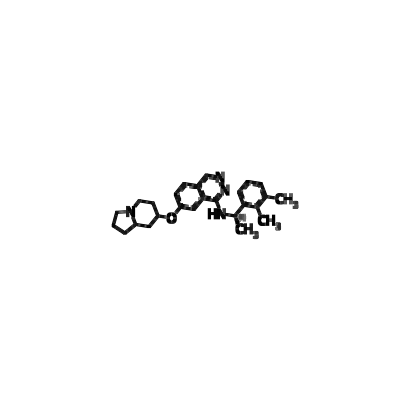 Cc1cccc([C@@H](C)Nc2nncc3ccc(OC4CCN5CCCC5C4)cc23)c1C